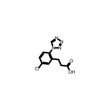 O=C(O)CCc1cc(Cl)ccc1-n1cnnn1